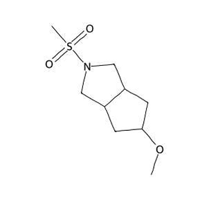 COC1CC2CN(S(C)(=O)=O)CC2C1